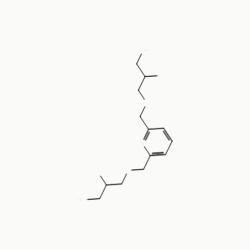 OCC(O)COCc1cccc(COCC(O)CO)n1